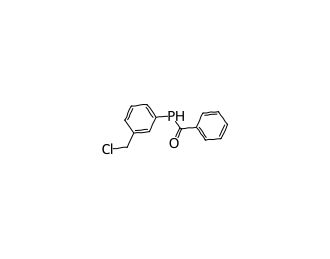 O=C(Pc1cccc(CCl)c1)c1ccccc1